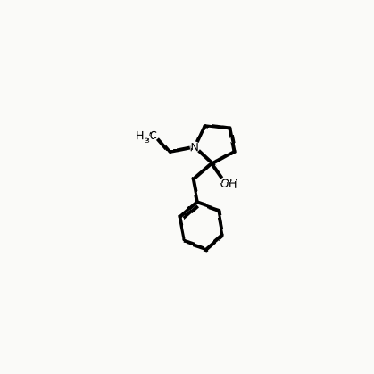 CCN1CCCC1(O)CC1=CCCCC1